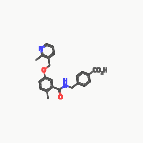 Cc1ccc(OCc2cccnc2C)cc1C(=O)NCc1ccc(C(=O)O)cc1